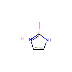 I.Ic1ncc[nH]1